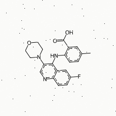 Cc1ccc(Nc2c(N3CCOCC3)cnc3ccc(F)cc23)c(C(=O)O)c1